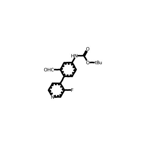 CC(C)(C)OC(=O)Nc1ccc(-c2ccncc2F)c(C=O)c1